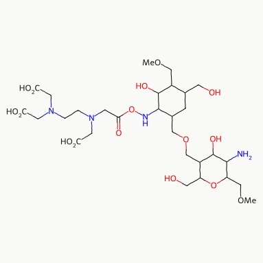 COCC1OC(CO)C(COCC2CC(CO)C(COC)C(O)C2NOC(=O)CN(CCN(CC(=O)O)CC(=O)O)CC(=O)O)C(O)C1N